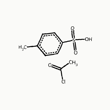 CC(=O)Cl.Cc1ccc(S(=O)(=O)O)cc1